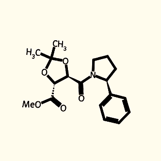 COC(=O)[C@@H]1OC(C)(C)O[C@H]1C(=O)N1CCC[C@H]1c1ccccc1